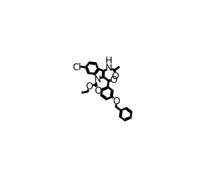 CCOC(=O)n1c(C(=O)c2cccc(OCc3ccccc3)c2)c(NC(C)=O)c2ccc(Cl)cc21